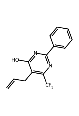 C=CCc1c(O)nc(-c2ccccc2)nc1C(F)(F)F